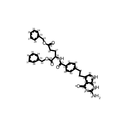 Nc1nc(=O)c2c(CCc3ccc(C(=O)NC(CCC(=O)OCc4ccccc4)C(=O)OCc4ccccc4)cc3)c[nH]c2[nH]1